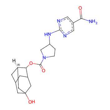 NC(=O)c1cnc(NC2CCN(C(=O)OC3C4CC5C[C@@H]3CC(O)(C5)C4)C2)nc1